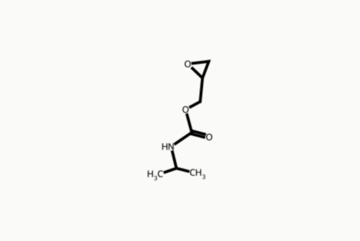 CC(C)NC(=O)OCC1CO1